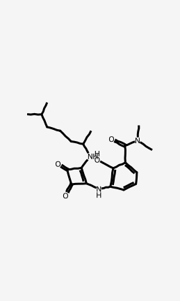 CC(C)CCCC(C)Nc1c(Nc2cccc(C(=O)N(C)C)c2O)c(=O)c1=O